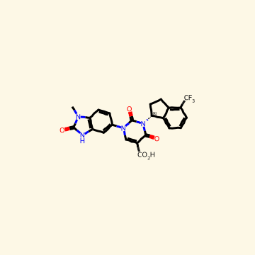 Cn1c(=O)[nH]c2cc(-n3cc(C(=O)O)c(=O)n([C@@H]4CCc5c4cccc5C(F)(F)F)c3=O)ccc21